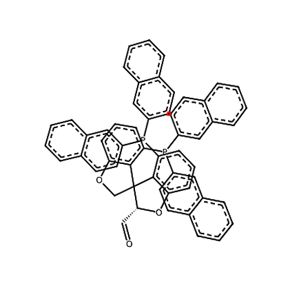 O=C[C@H]1Oc2cccc(P(c3ccc4ccccc4c3)c3ccc4ccccc4c3)c2C12COc1cccc(P(c3ccc4ccccc4c3)c3ccc4ccccc4c3)c12